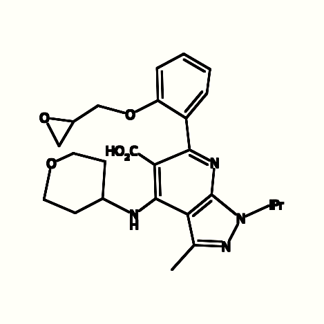 Cc1nn(C(C)C)c2nc(-c3ccccc3OCC3CO3)c(C(=O)O)c(NC3CCOCC3)c12